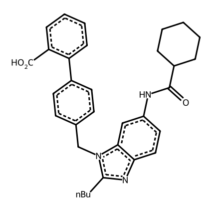 CCCCc1nc2ccc(NC(=O)C3CCCCC3)cc2n1Cc1ccc(-c2ccccc2C(=O)O)cc1